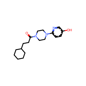 O=C(CCC1CCCCC1)N1CCN(c2ccc(O)cn2)CC1